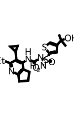 CCc1nc2c(c(NC(=O)N=[S@](N)(=O)c3cc(C(C)(C)O)cs3)c1C1CC1)CCC2